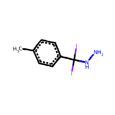 Cc1ccc(C(I)(I)NN)cc1